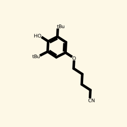 CC(C)(C)c1cc(OCCCCC#N)cc(C(C)(C)C)c1O